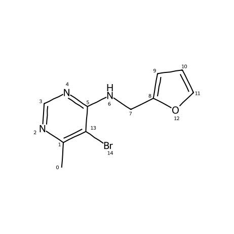 Cc1ncnc(NCc2ccco2)c1Br